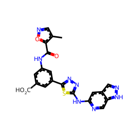 Cc1cnoc1C(=O)Nc1cc(C(=O)O)cc(-c2nnc(Nc3cc4cn[nH]c4cn3)s2)c1